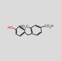 O=C(O)c1ccc(Cc2ccc(O)cc2)c(C(=O)O)c1